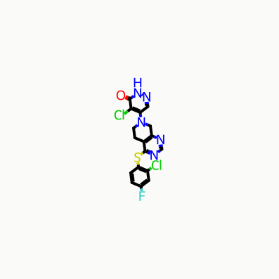 O=c1[nH]ncc(N2CCc3c(ncnc3Sc3ccc(F)cc3Cl)C2)c1Cl